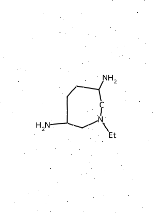 CCN1CC(N)CCC(N)C1